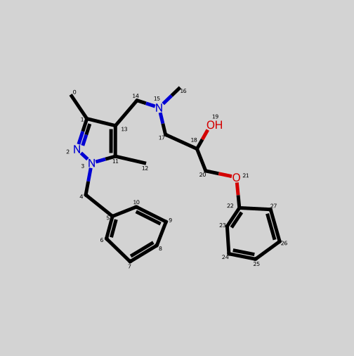 Cc1nn(Cc2ccccc2)c(C)c1CN(C)CC(O)COc1ccccc1